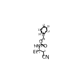 CCC(CC#N)NC(=O)OCc1ccccc1